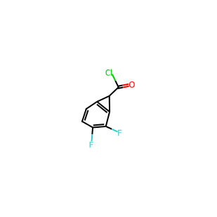 O=C(Cl)C1c2ccc(F)c(F)c21